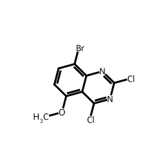 COc1ccc(Br)c2nc(Cl)nc(Cl)c12